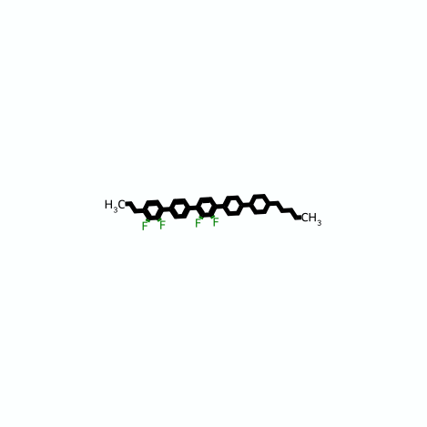 CCCCCC1CCC(C2CC=C(c3ccc(-c4ccc(-c5ccc(CCC)c(F)c5F)cc4)c(F)c3F)CC2)CC1